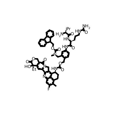 CC[C@@]1(O)C(=O)OCc2c1cc1n(c2=O)Cc2c-1nc1cc(F)c(C)c3c1c2[C@@H](NC(=O)OCc1ccc(NC(=O)[C@H](CCCNC(N)=O)NC(=O)[C@@H](N)C(C)C)cc1CN(C)C(=O)OCC1c2ccccc2-c2ccccc21)CC3